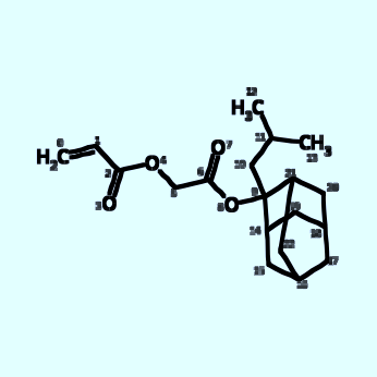 C=CC(=O)OCC(=O)OC1(CC(C)C)C2CC3CC(C2)CC1C3